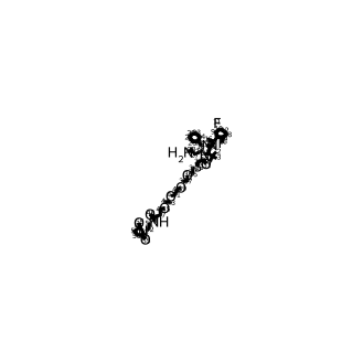 CC(C)(C)C(c1nc(-c2cc(F)ccc2F)cn1Cc1ccccc1)N(CCCN)C(=O)CSCCOCCOCCOCCOCCC(=O)NCCN1C(=O)C=CC1=O